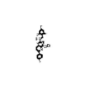 CCOc1nc(NCc2c(F)cc(F)cc2F)nc2ccc(-c3ccc(F)cc3)nc12